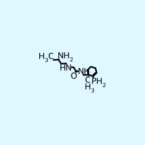 CC[C@@H](N)CCNCC(=O)NC[C@@]1(C)CCCC=C1P